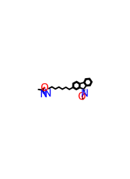 CO/N=C1/c2ccccc2-c2ccc(CCCCCCc3nnc(C)o3)cc21